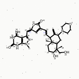 C=C1C(N2CCOCC2)CC2[C@](C)(CC[C@@H](O)[C@@]2(C)CO)C1/C=C/C1=CC(=C\c2nn(C)c3[nH]c(=O)[nH]c(=N)c23)/OC1=O